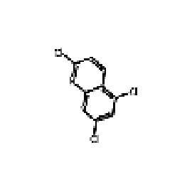 Clc1ccc2c(Cl)cc(Cl)nc2n1